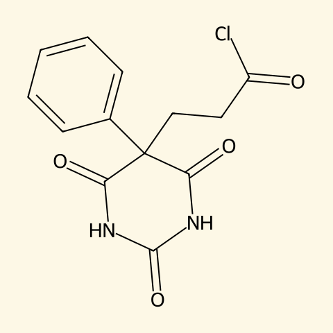 O=C(Cl)CCC1(c2ccccc2)C(=O)NC(=O)NC1=O